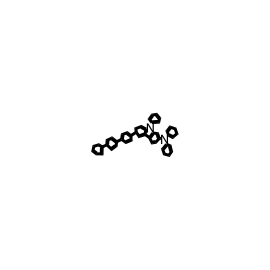 C1=CCCC(c2ccc(-c3ccc(C4C=c5c(n(-c6ccccc6)c6cc(N(C7=CCCC=C7)C7=CCCC=C7)ccc56)=CC4)cc3)cc2)=C1